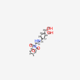 O=C1C2C3C=CC(O3)C2C(=O)N1CCNCc1ccc(CB(O)O)cc1